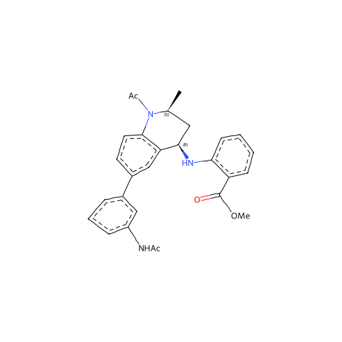 COC(=O)c1ccccc1N[C@@H]1C[C@H](C)N(C(C)=O)c2ccc(-c3cccc(NC(C)=O)c3)cc21